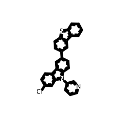 Clc1ccc2c3cc(-c4ccc5sc6ccccc6c5c4)ccc3n(-c3cccnc3)c2c1